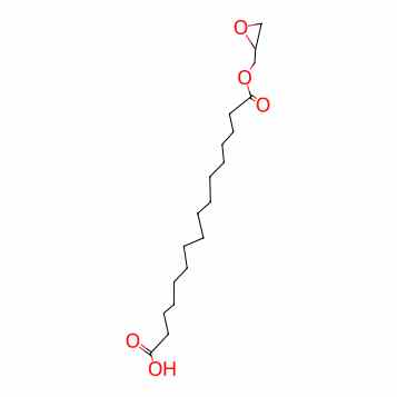 O=C(O)CCCCCCCCCCCCCCC(=O)OCC1CO1